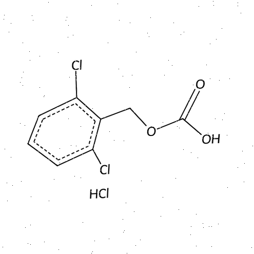 Cl.O=C(O)OCc1c(Cl)cccc1Cl